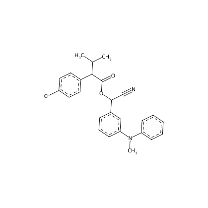 CC(C)C(C(=O)OC(C#N)c1cccc(N(C)c2ccccc2)c1)c1ccc(Cl)cc1